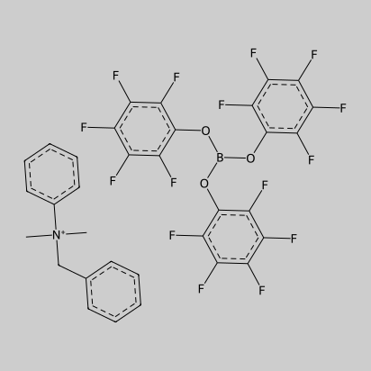 C[N+](C)(Cc1ccccc1)c1ccccc1.Fc1c(F)c(F)c(OB(Oc2c(F)c(F)c(F)c(F)c2F)Oc2c(F)c(F)c(F)c(F)c2F)c(F)c1F